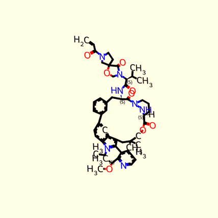 C=CC(=O)N1CCC2(C1)OCN([C@H](C(=O)N[C@H]1Cc3cccc(c3)-c3ccc4c(c3)c(c(-c3cccnc3[C@H](C)OC)n4CC)CC(C)(C)COC(=O)[C@@H]3CCCN(N3)C1=O)C(C)C)C2=O